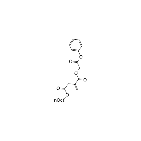 C=C(CC(=O)OCCCCCCCC)C(=O)OCC(=O)Oc1ccccc1